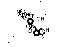 Cl.O=c1oc2cc(S(=O)(=O)Nc3ncns3)c(F)cc2n1Cc1cccc2c1CNCC2F